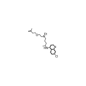 C=C(C)CCOCCN(CC)CCCC(C)Nc1ccnc2cc(Cl)ccc12